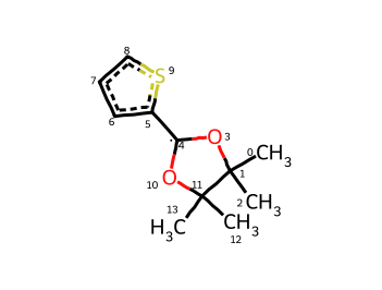 CC1(C)O[C](c2cccs2)OC1(C)C